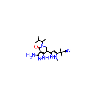 CC(C)C(C)n1cc(-c2cc(C(C)(C)C#N)n(C)n2)c2[nH]nc(N)c2c1=O